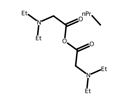 CCCC.CCN(CC)CC(=O)OC(=O)CN(CC)CC